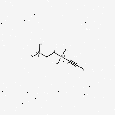 CC#C[Si](C)(C)CC[SiH](C)C